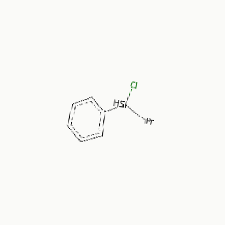 CC(C)[SiH](Cl)c1ccccc1